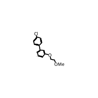 COCCOc1c[c]cc(-c2ccc(Cl)cc2)c1